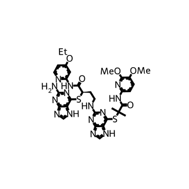 CCOc1ccnc(NC(=O)[C@@H](CCNc2nc(SC(C)(C)C(=O)Nc3ccc(OC)c(OC)n3)c3[nH]cnc3n2)Sc2nc(N)nc3nc[nH]c23)c1